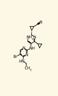 CCNc1nc(NC(=C/N)/C(=N\C[C@H]2CC2C#N)C2CC2)ncc1Br